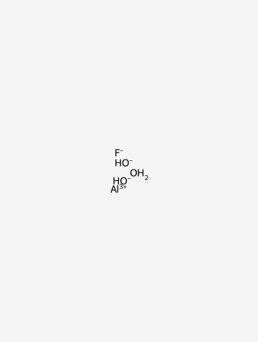 O.[Al+3].[F-].[OH-].[OH-]